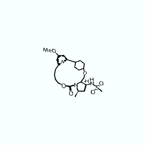 COc1cc2nc(c1)C1CCC(CC1)OC[C@H]1[C@@H](NS(C)(=O)=O)C[C@@H](C)N1C(=O)OCCCC2